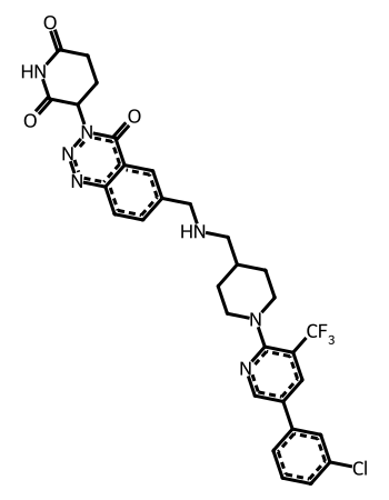 O=C1CCC(n2nnc3ccc(CNCC4CCN(c5ncc(-c6cccc(Cl)c6)cc5C(F)(F)F)CC4)cc3c2=O)C(=O)N1